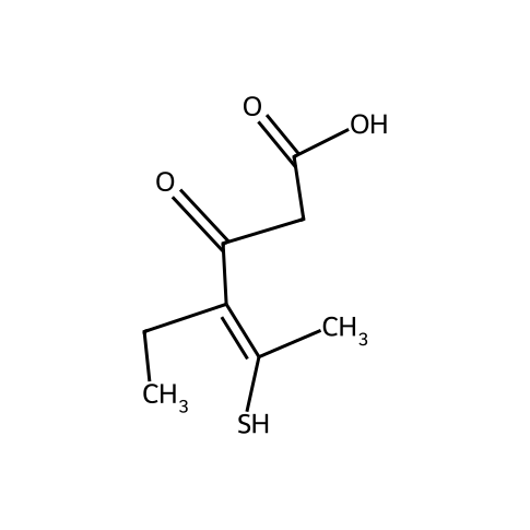 CCC(C(=O)CC(=O)O)=C(C)S